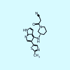 Cc1ncc(-c2cnc3[nH]ccc3c2N[C@@H]2CCCN(C(=O)CC#N)C2)s1